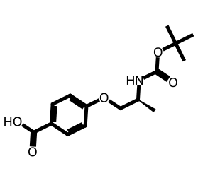 C[C@@H](COc1ccc(C(=O)O)cc1)NC(=O)OC(C)(C)C